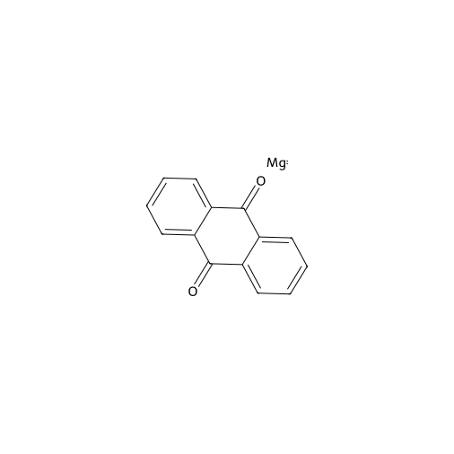 O=C1c2ccccc2C(=O)c2ccccc21.[Mg]